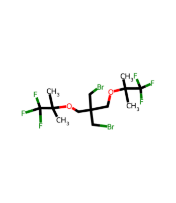 CC(C)(OCC(CBr)(CBr)COC(C)(C)C(F)(F)F)C(F)(F)F